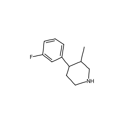 CC1CNCCC1c1cccc(F)c1